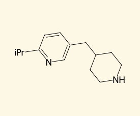 CC(C)c1ccc(CC2CCNCC2)cn1